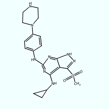 CS(=O)(=O)c1n[nH]c2nc(Nc3ccc(N4CCNCC4)cc3)nc(NC3CC3)c12